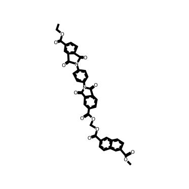 CCOC(=O)c1ccc2c(c1)C(=O)N(c1ccc(N3C(=O)c4ccc(C(=O)OCOC(=O)c5ccc6cc(C(=O)OC)ccc6c5)cc4C3=O)cc1)C2=O